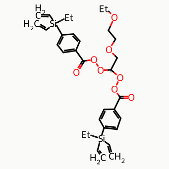 [CH2]COCCOC[C](OOC(=O)c1ccc([Si](C=C)(C=C)CC)cc1)OOC(=O)c1ccc([Si](C=C)(C=C)CC)cc1